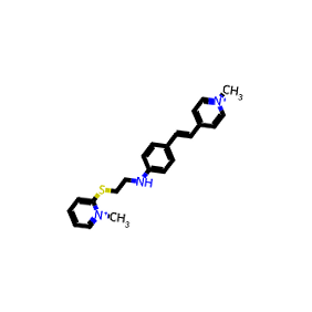 C[n+]1ccc(/C=C/c2ccc(NCCSc3cccc[n+]3C)cc2)cc1